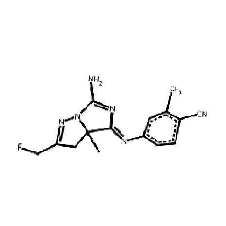 CC12CC(CF)=NN1C(N)=N/C2=N\c1ccc(C#N)c(C(F)(F)F)c1